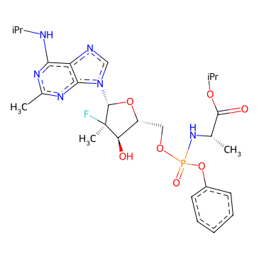 Cc1nc(NC(C)C)c2ncn([C@@H]3O[C@H](COP(=O)(N[C@@H](C)C(=O)OC(C)C)Oc4ccccc4)[C@@H](O)[C@@]3(C)F)c2n1